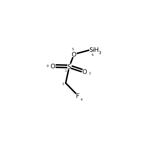 O=S(=O)(CF)O[SiH3]